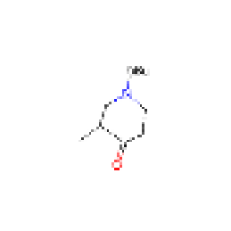 CCCCN1CCC(=O)C(C)C1